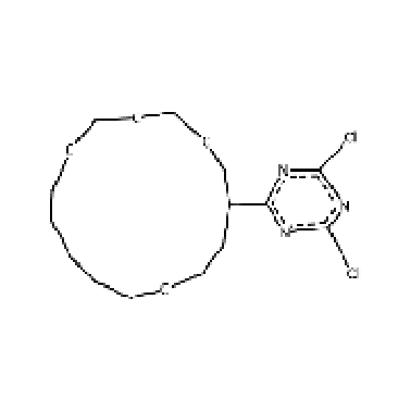 Clc1nc(Cl)nc(C2CCCCCCCCCCCCCC2)n1